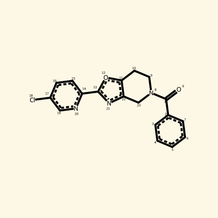 O=C(c1ccccc1)N1CCc2oc(-c3ccc(Cl)cn3)nc2C1